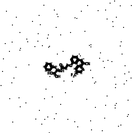 N#CC(=Cc1cccc(OCCC(=O)N[C@@H](Cc2ccccc2)B(O)O)c1)c1ccc(C(F)(F)F)cn1